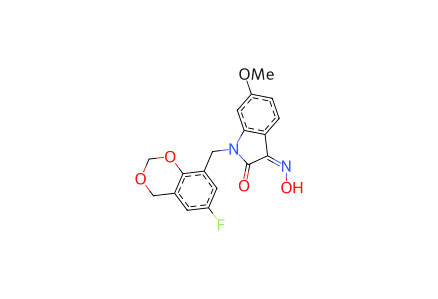 COc1ccc2c(c1)N(Cc1cc(F)cc3c1OCOC3)C(=O)/C2=N\O